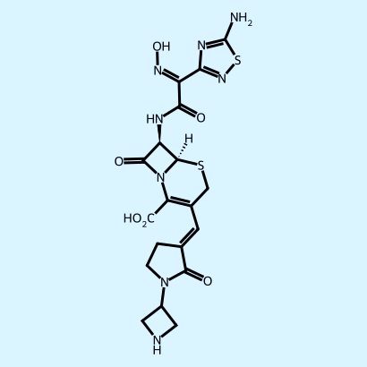 Nc1nc(C(=NO)C(=O)N[C@@H]2C(=O)N3C(C(=O)O)=C(C=C4CCN(C5CNC5)C4=O)CS[C@H]23)ns1